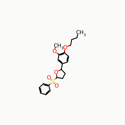 CCCCOc1ccc(C2CCC(S(=O)(=O)c3ccccc3)O2)cc1OC